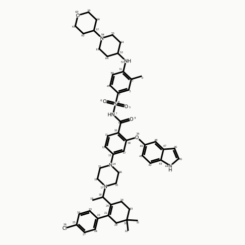 Cc1cc(S(=O)(=O)NC(=O)c2ccc(N3CCN(C(C)C4=C(c5ccc(Cl)cc5)CC(C)(C)CC4)CC3)cc2Oc2ccc3[nH]ccc3c2)ccc1NC1CCN(C2CCOCC2)CC1